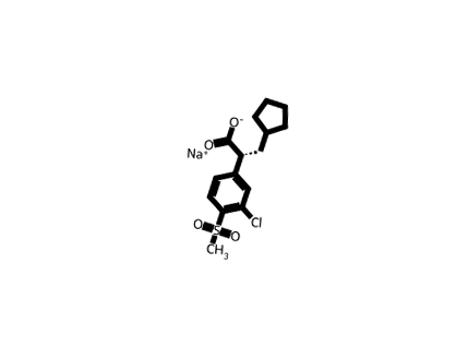 CS(=O)(=O)c1ccc([C@@H](CC2CCCC2)C(=O)[O-])cc1Cl.[Na+]